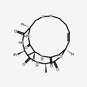 CC(C)[C@H]1NC(=O)[C@H]2CSSCCC=C[C@H](CC(=O)N[C@H](C)C(=O)N2)OC(=O)[C@@H](C)NC1=O